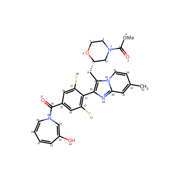 COC(=O)N1CCO[C@@H](Cc2c(-c3c(F)cc(C(=O)N4C=CC=CC(O)=C4)cc3F)nc3cc(C)ccn23)C1